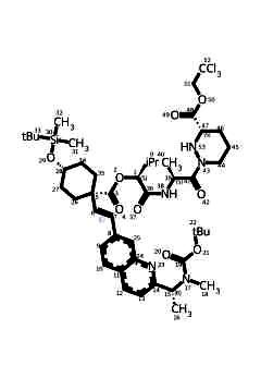 CC(C)[C@H](OC(=O)[C@]1(/C=C/c2ccc3ccc([C@@H](C)N(C)C(=O)OC(C)(C)C)nc3c2)CC[C@H](O[Si](C)(C)C(C)(C)C)CC1)C(=O)N[C@@H](C)C(=O)N1CCC[C@@H](C(=O)OCC(Cl)(Cl)Cl)N1